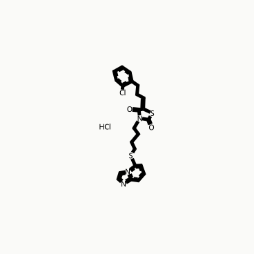 Cl.O=C1S/C(=C/CCc2ccccc2Cl)C(=O)N1CCCCSc1cccc2nccn12